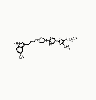 CCOC(=O)c1sc(-c2cnc(N3CCN(CCCCc4c[nH]c5ccc(C#N)cc45)CC3)nc2)nc1C